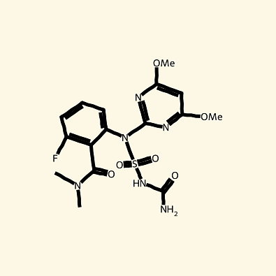 COc1cc(OC)nc(N(c2cccc(F)c2C(=O)N(C)C)S(=O)(=O)NC(N)=O)n1